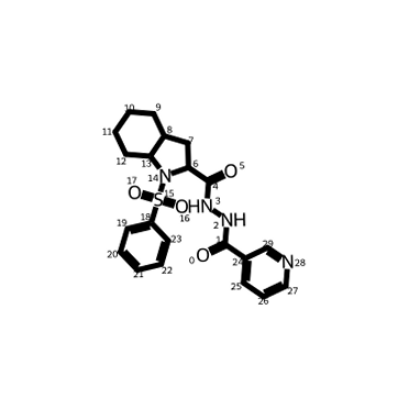 O=C(NNC(=O)C1CC2CCCCC2N1S(=O)(=O)c1ccccc1)c1cccnc1